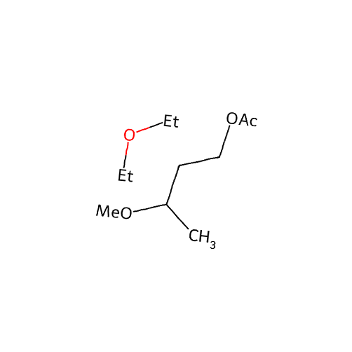 CCOCC.COC(C)CCOC(C)=O